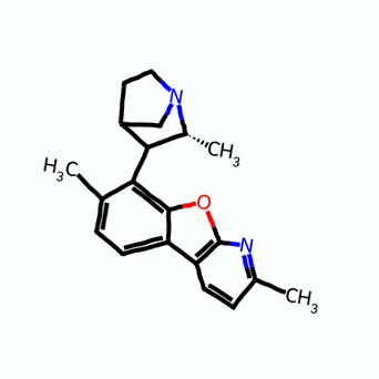 Cc1ccc2c(n1)oc1c(C3C4CCN(C4)[C@@H]3C)c(C)ccc12